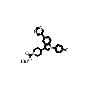 CC(C)(C)OC(=O)N1CCC(c2cn(-c3ccc(F)cc3)c3ccc(-c4cncnc4)cc23)CC1